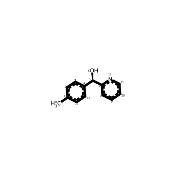 Cc1ccc([C@@H](O)c2ccccn2)cc1